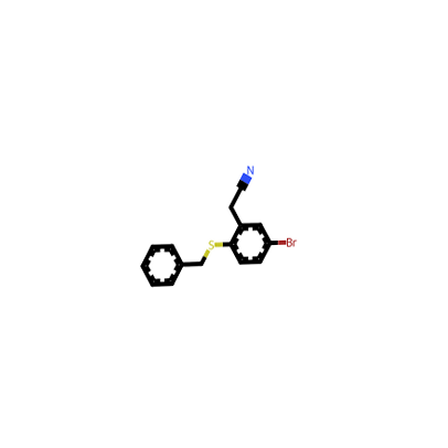 N#CCc1cc(Br)ccc1SCc1ccccc1